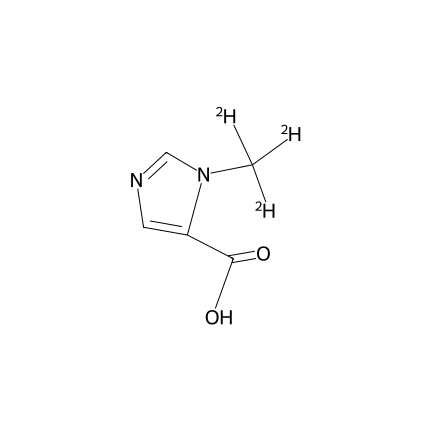 [2H]C([2H])([2H])n1cncc1C(=O)O